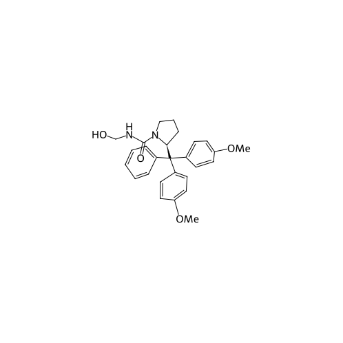 COc1ccc(C(c2ccccc2)(c2ccc(OC)cc2)[C@@H]2CCCN2C(=O)NCO)cc1